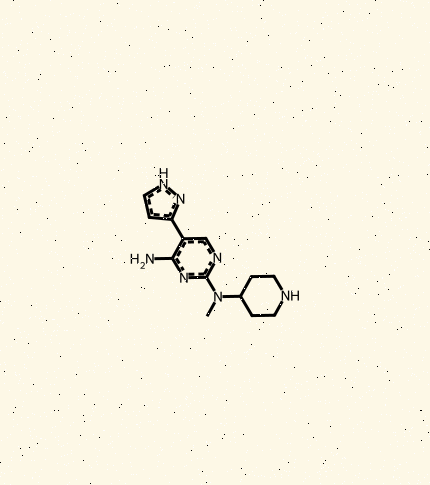 CN(c1ncc(-c2cc[nH]n2)c(N)n1)C1CCNCC1